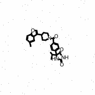 Cc1ccc2occ(C3CCN(C(=O)c4ccc(C5(C(C)C)NC(=O)NC5=O)cc4)CC3)c2c1